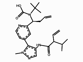 C=CC[C@@H](c1cc(-c2c(NC(=O)C(C=C)C(C)C)cnn2C)ccn1)N(C(=O)O)C(C)(C)C